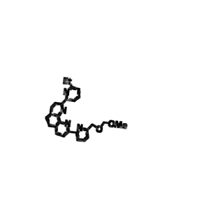 CCc1cccc(-c2ccc3ccc4ccc(-c5cccc(COCOC)n5)nc4c3n2)n1